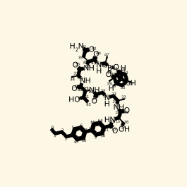 CCCCc1ccc(-c2ccc(C(=O)N[C@H](CO)C(=O)N[C@H](C)CNCC(=O)N[C@H](C(=O)N[C@@H](C)C(=O)N[C@@H](CC(N)=O)C(=O)N[C@@H](C)B3O[C@@H]4C[C@@H]5C[C@@H](C5(C)C)[C@]4(C)O3)C(C)O)cc2)cc1